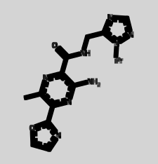 Cc1nc(C(=O)NCc2ncnn2C(C)C)c(N)nc1-c1ncco1